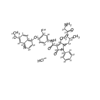 COc1ccc2c(Oc3ccc(NC(=O)c4c(C)n(CC(C)OC(=O)CN)n(-c5ccccc5)c4=O)cc3F)ccnc2c1.Cl